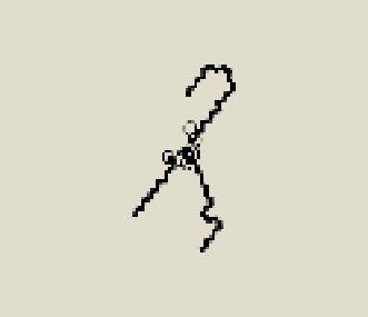 CCCCC/C=C\C/C=C\C/C=C\CCCCCCCCC(=O)OC[C@@H](COC(=O)CCCCCCCCCCC)OC(=O)CCCCCC/C=C\C/C=C\C/C=C\CCCCC